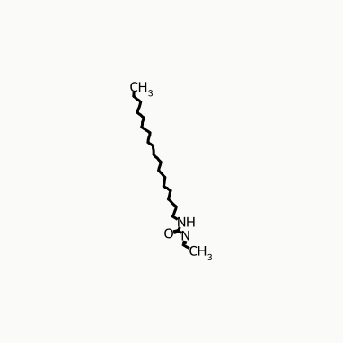 CC=NC(=O)NCCCCCCCCCCCCCCCCCC